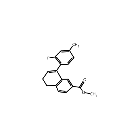 COC(=O)c1ccc2c(c1)C(c1ccc(C)cc1F)=CCC2